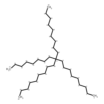 CCCCCCCCCC(CCCCCCCC)(CCCCCCCCC)CCCCCCCCC